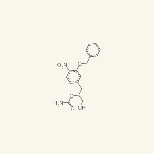 NC(=O)OC(CO)Cc1ccc([N+](=O)[O-])c(OCc2ccccc2)c1